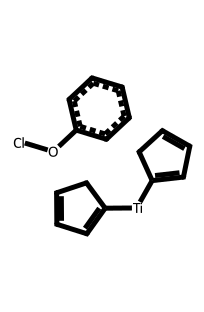 C1=CC[C]([Ti][C]2=CC=CC2)=C1.ClOc1ccccc1